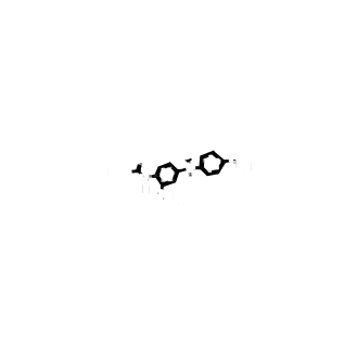 CSc1ccc(S(=O)(=O)c2ccc(NC(C)=O)c(N)c2)cc1